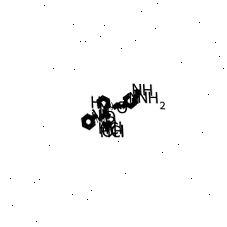 Cl.Cl.N=C(N)N1CCC(OCC[C@H]2CCCCN2C(=O)[C@H](CC(=O)O)NC2CCCCC2)CC1